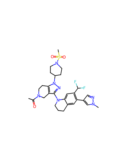 CC(=O)N1CCc2c(c(N3CCCc4cc(-c5cnn(C)c5)c(C(F)F)cc43)nn2C2CCN(S(C)(=O)=O)CC2)C1